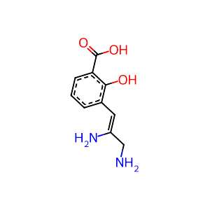 NCC(N)=Cc1cccc(C(=O)O)c1O